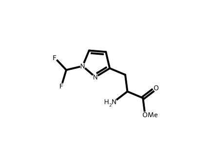 COC(=O)C(N)Cc1ccn(C(F)F)n1